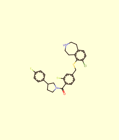 O=C(c1ccc(CSc2c(Cl)ccc3c2CCNCC3)cc1F)N1CCC(c2ccc(F)cc2)C1